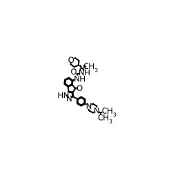 CC(C)N1CCN(c2ccc(-c3n[nH]c4c3C(=O)c3c(NC(=O)NN(C)C5CCOCC5)cccc3-4)cc2)CC1